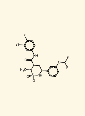 CN1[C@@H](C(=O)Nc2ccc(F)c(Cl)c2)C[C@@H](c2cccc(OC(F)F)c2)NS1(=O)=O